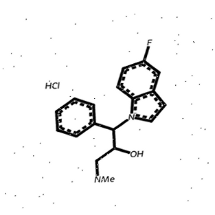 CNCC(O)C(c1ccccc1)n1ccc2cc(F)ccc21.Cl